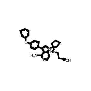 C#CCCNC1(n2cc(-c3ccc(Oc4ccccc4)cc3)c3c(N)nccc32)CCCC1